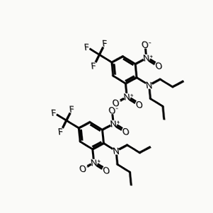 CCCN(CCC)c1c([N+](=O)[O-])cc(C(F)(F)F)cc1[N+](=O)[O-].CCCN(CCC)c1c([N+](=O)[O-])cc(C(F)(F)F)cc1[N+](=O)[O-]